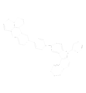 c1ccc(-n2c3ccc(-c4ccc(-c5ccc6c(c5)-c5cccc7cccc(c57)S6)cc4)cc3c3c4ccccc4ccc32)cc1